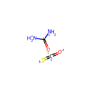 NC(N)=O.O=C=S